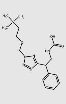 C[Si](C)(C)CCOCn1nnc(C(CNC(=O)O)c2ccccc2)n1